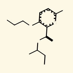 CCCSc1ccc(Cl)nc1C(=S)OC(C)CC